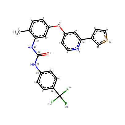 Cc1ccc(Oc2ccnc(-c3ccsc3)c2)cc1NC(=O)Nc1ccc(C(F)(F)F)cc1